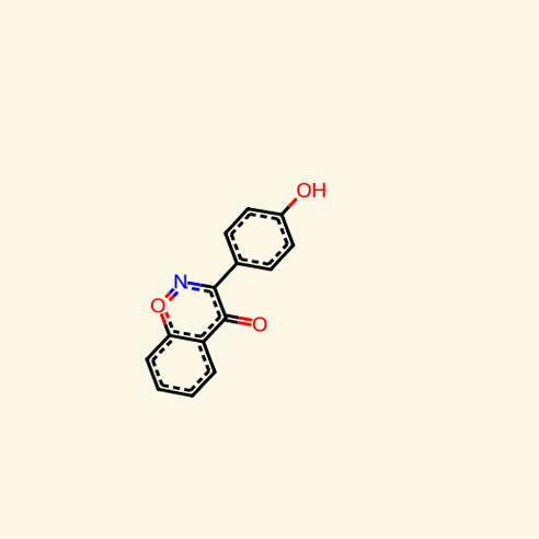 O=c1c(-c2ccc(O)cc2)noc2ccccc12